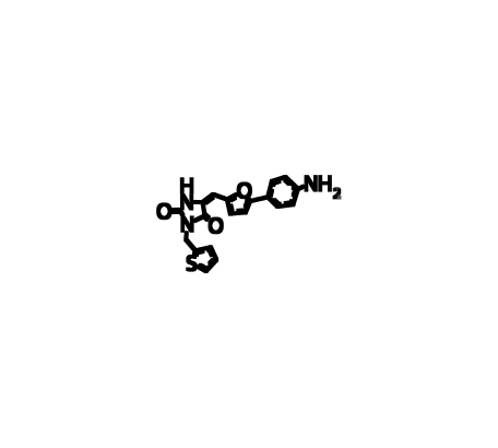 Nc1ccc(-c2ccc(/C=C3/NC(=O)N(Cc4cccs4)C3=O)o2)cc1